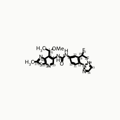 CO[C@@H](C)c1c(NC(=O)Nc2ccc(-n3nccn3)c(C(F)F)c2)cnc2sc(C)nc12